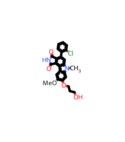 COc1cc2c3c4c(c(-c5ccccc5Cl)cc3n(C)c2cc1OCCCO)C(=O)NC4=O